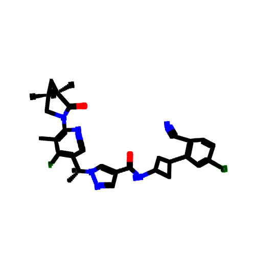 Cc1c(N2C[C@H]3C[C@H]3C2=O)ncc([C@@H](C)n2cc(C(=O)NC3CC(c4cc(Cl)ccc4C#N)C3)cn2)c1F